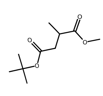 COC(=O)C(C)CC(=O)OC(C)(C)C